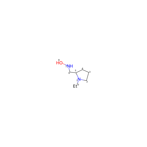 CCN1CCCC1CNO